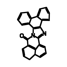 O=c1c2c3c(c4nc5c6ccccc6c6ccccc6c5n14)=CC=CC3CC=C2